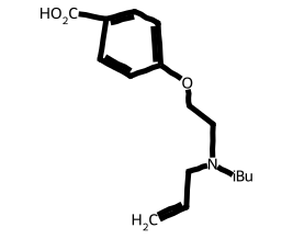 C=CCN(CCOc1ccc(C(=O)O)cc1)C(C)CC